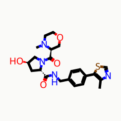 Cc1ncsc1-c1ccc(CNC(=O)[C@@H]2C[C@@H](O)CN2C(=O)[C@@H]2COCCN2C)cc1